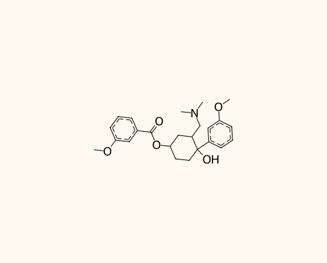 COc1cccc(C(=O)OC2CCC(O)(c3cccc(OC)c3)C(CN(C)C)C2)c1